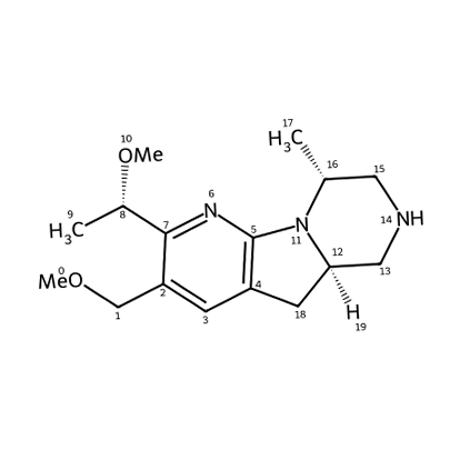 COCc1cc2c(nc1[C@H](C)OC)N1[C@@H](CNC[C@H]1C)C2